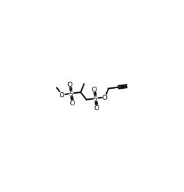 C#CCOS(=O)(=O)CC(C)S(=O)(=O)OC